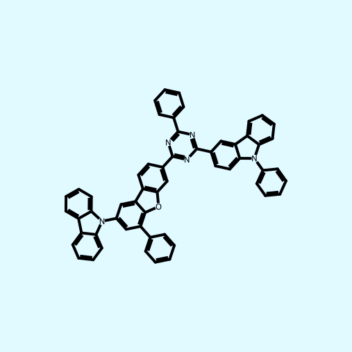 c1ccc(-c2nc(-c3ccc4c(c3)oc3c(-c5ccccc5)cc(-n5c6ccccc6c6ccccc65)cc34)nc(-c3ccc4c(c3)c3ccccc3n4-c3ccccc3)n2)cc1